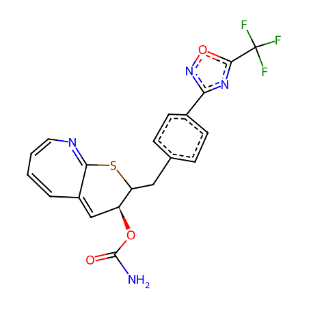 NC(=O)O[C@H]1C=C2C=CC=CN=C2SC1Cc1ccc(-c2noc(C(F)(F)F)n2)cc1